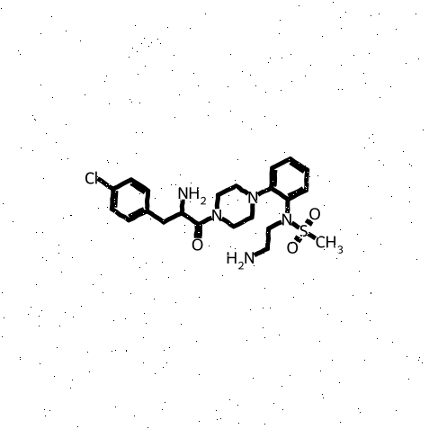 CS(=O)(=O)N(CCN)c1ccccc1N1CCN(C(=O)C(N)Cc2ccc(Cl)cc2)CC1